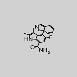 Cc1[nH]c2c(C(N)=O)cc(F)c(C34C=CC=CC3=CN=C4)c2c1C